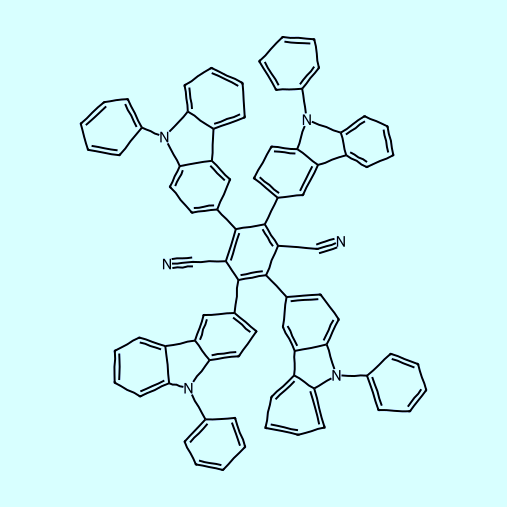 N#Cc1c(-c2ccc3c(c2)c2ccccc2n3-c2ccccc2)c(-c2ccc3c(c2)c2ccccc2n3-c2ccccc2)c(C#N)c(-c2ccc3c(c2)c2ccccc2n3-c2ccccc2)c1-c1ccc2c(c1)c1ccccc1n2-c1ccccc1